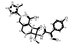 CO[C@@]1(NC(=O)C(=S=O)c2ccc(Cl)cc2)C(=O)N2C(C(=O)O)=C(CSc3nnnn3C)CS[C@@H]21